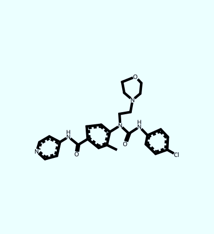 Cc1cc(C(=O)Nc2ccncc2)ccc1N(CCN1CCOCC1)C(=O)Nc1ccc(Cl)cc1